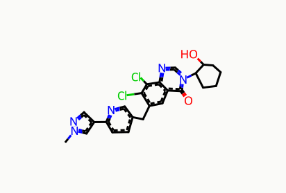 Cn1cc(-c2ccc(Cc3cc4c(=O)n(C5CCCCC5O)cnc4c(Cl)c3Cl)cn2)cn1